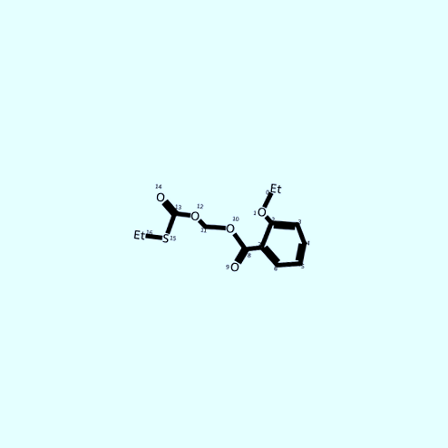 CCOc1ccccc1C(=O)OCOC(=O)SCC